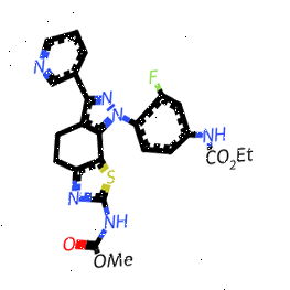 CCOC(=O)Nc1ccc(-n2nc(-c3cccnc3)c3c2-c2sc(NC(=O)OC)nc2CC3)c(F)c1